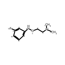 CN(C)CCONc1cccc(F)c1